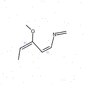 C=N/C=C\C(=C/C)OC